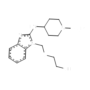 CCOC(=O)N1CCC(Nc2nc3ccccc3n2COCCO)CC1